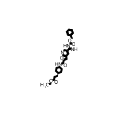 CCOC(=O)CC[C@H]1CC[C@H](NC(=O)c2cc3cc(C(=N)NC(=O)OCc4ccccc4)cnc3o2)CC1